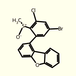 C[S+]([O-])c1c(Cl)cc(Br)cc1-c1cccc2oc3ccccc3c12